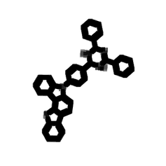 c1ccc(C2=NC(c3ccccc3)NC(c3ccc(-n4c5ccccc5c5c6sc7ccccc7c6ccc54)cc3)N2)cc1